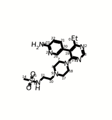 CCc1ncnc(N2CCN(CCNS(C)(=O)=O)CC2)c1-c1ccc(N)nc1